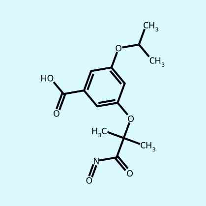 CC(C)Oc1cc(OC(C)(C)C(=O)N=O)cc(C(=O)O)c1